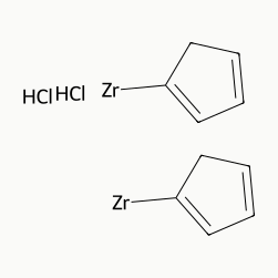 Cl.Cl.[Zr][C]1=CC=CC1.[Zr][C]1=CC=CC1